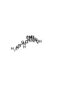 CCN(C(C)=O)C(SNc1ccc(NC(=O)CCN2CCN(C)CC2)cc1)[C@H](N)C(=O)N1CCC(O)C1